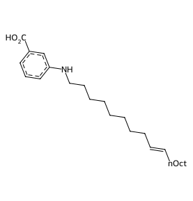 CCCCCCCCC=CCCCCCCCCNc1cccc(C(=O)O)c1